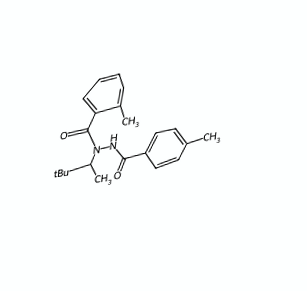 Cc1ccc(C(=O)NN(C(=O)c2ccccc2C)C(C)C(C)(C)C)cc1